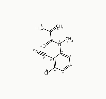 C=C(C)C(=O)N(C)c1cccc(Cl)c1C#N